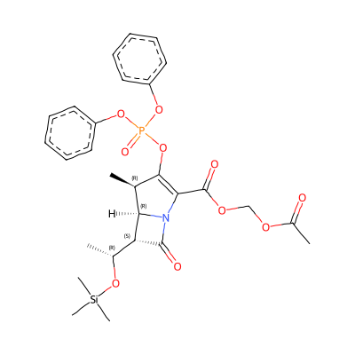 CC(=O)OCOC(=O)C1=C(OP(=O)(Oc2ccccc2)Oc2ccccc2)[C@H](C)[C@@H]2[C@@H]([C@@H](C)O[Si](C)(C)C)C(=O)N12